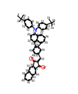 CC(C)(C)c1ccc(N(c2ccc(C(C)(C)C)cc2)c2ccc3c4c(cccc24)-c2cc(C=C4C(=O)c5cc6ccccc6cc5C4=O)ccc2-3)cc1